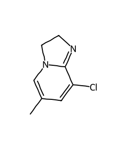 CC1=CN2CCN=C2C(Cl)=C1